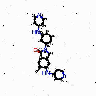 Cc1cc2c(cc1Nc1ccncc1)CN(c1cccc(Nc3ccncc3)c1)C2=O